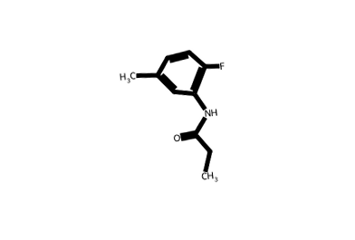 CCC(=O)Nc1cc(C)ccc1F